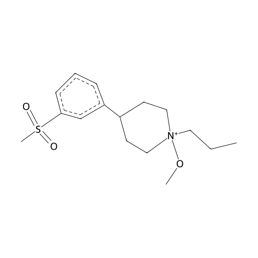 CCC[N+]1(OC)CCC(c2cccc(S(C)(=O)=O)c2)CC1